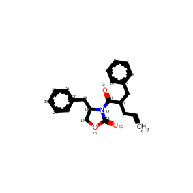 C=CCC(Cc1ccccc1)C(=O)N1C(=O)OCC1Cc1ccccc1